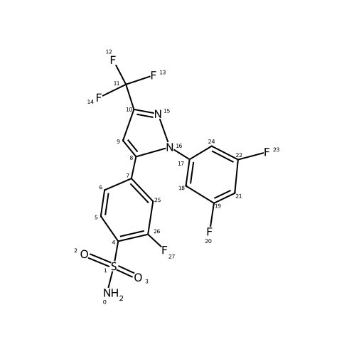 NS(=O)(=O)c1ccc(-c2cc(C(F)(F)F)nn2-c2cc(F)cc(F)c2)cc1F